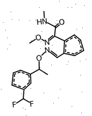 CNC(=O)C(=NOC)c1ccccc1C=NOC(C)c1cccc(C(F)F)c1